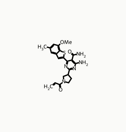 C=CC(=O)N1CCC(c2nc(N)c(C(N)=O)c(-c3cc4cc(C)cc(OC)c4s3)n2)C1